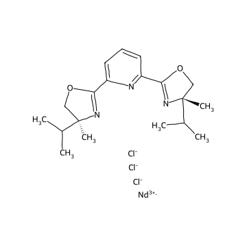 CC(C)[C@@]1(C)COC(c2cccc(C3=N[C@@](C)(C(C)C)CO3)n2)=N1.[Cl-].[Cl-].[Cl-].[Nd+3]